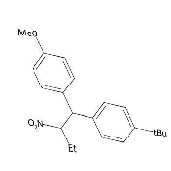 CCC(C(c1ccc(OC)cc1)c1ccc(C(C)(C)C)cc1)[N+](=O)[O-]